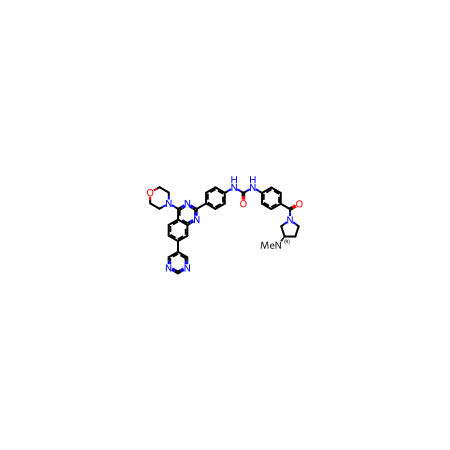 CN[C@@H]1CCN(C(=O)c2ccc(NC(=O)Nc3ccc(-c4nc(N5CCOCC5)c5ccc(-c6cncnc6)cc5n4)cc3)cc2)C1